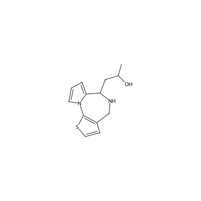 CC(O)CC1NCc2ccsc2-n2cccc21